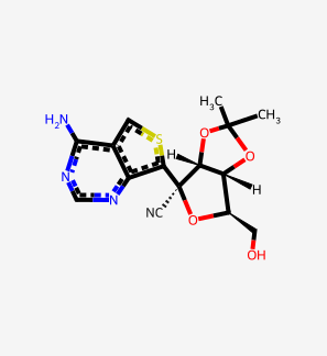 CC1(C)O[C@H]2[C@@H](O1)[C@](C#N)(c1scc3c(N)ncnc13)O[C@@H]2CO